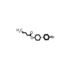 C=CCCC(=O)O[C@H]1CC[C@H](c2ccc(Br)cc2)CC1